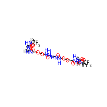 CC(C)C(NC(=O)[C@@H]1CCCN1C(=O)[C@@H](NC(=O)CCCOCCOCCNC(=O)NCCCCNC(=O)NCCOCCOCCCC(=O)N[C@H](C(=O)N1CCC[C@H]1C(=O)NC(C(=O)C(F)(F)F)C(C)C)C(C)C)C(C)C)C(=O)C(F)(F)F